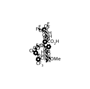 COc1nc(C)nc(NC(=O)NS(=O)(=O)c2ccccc2CCC(F)(F)F)n1.C[C@H](OC(=O)c1cc(Oc2ccc(C(F)(F)F)cc2Cl)ccc1Cl)C(=O)O.O=C(Nc1nc(OC(F)F)cc(OC(F)F)n1)NS(=O)(=O)c1ccccc1C(=O)O